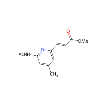 COC(=O)C=Cc1cc(C)cc(NC(C)=O)n1